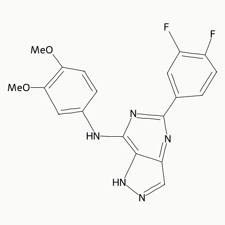 COc1ccc(Nc2nc(-c3ccc(F)c(F)c3)nc3cn[nH]c23)cc1OC